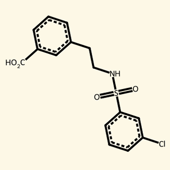 O=C(O)c1cccc(CCNS(=O)(=O)c2cccc(Cl)c2)c1